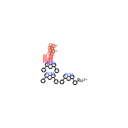 O.O.O.O.O.[O-][Cl+3]([O-])([O-])[O-].[O-][Cl+3]([O-])([O-])[O-].[Ru+2].c1ccc(-c2ccnc3c2ccc2c(-c4ccccc4)ccnc23)cc1.c1ccc(-c2ccnc3c2ccc2c(-c4ccccc4)ccnc23)cc1.c1ccc(-c2ccnc3c2ccc2c(-c4ccccc4)ccnc23)cc1